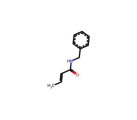 CC=CC(=O)NCc1ccccc1